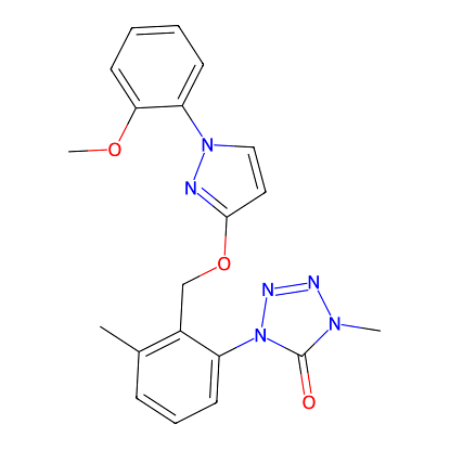 COc1ccccc1-n1ccc(OCc2c(C)cccc2-n2nnn(C)c2=O)n1